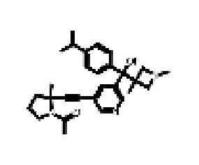 CC(=O)N1CCC[C@]1(C)C#Cc1cncc(C(O)(c2ccc(C(C)C)cc2)C2(C)CN(C)C2)c1